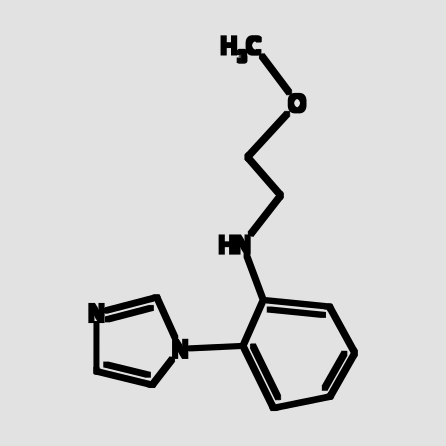 COCCNc1ccccc1-n1ccnc1